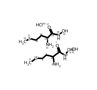 CSCCC(N)C(=O)NO.CSCC[C@H](N)C(=O)NO.Cl.Cl